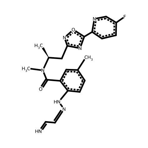 Cc1ccc(N/N=C\C=N)c(C(=O)N(C)[C@@H](C)Cc2noc(-c3ccc(F)cn3)n2)c1